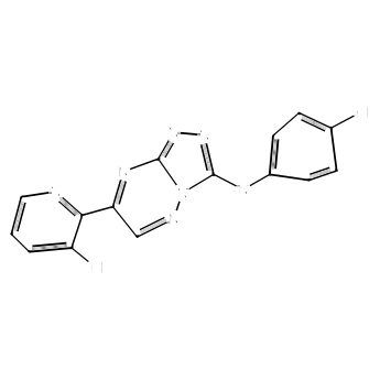 Clc1ccc(Nc2nnc3nc(-c4ncccc4Cl)cnn23)cc1